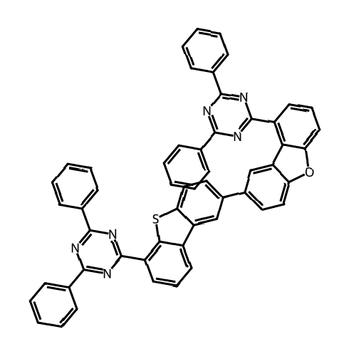 c1ccc(-c2nc(-c3ccccc3)nc(-c3cccc4c3sc3ccc(-c5ccc6oc7cccc(-c8nc(-c9ccccc9)nc(-c9ccccc9)n8)c7c6c5)cc34)n2)cc1